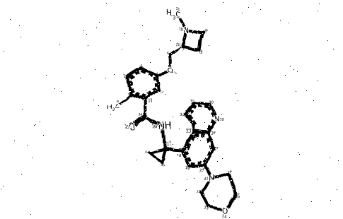 Cc1ccc(OC[C@@H]2CCN2C)cc1C(=O)NC1(c2cc(N3CCOCC3)cc3ncccc23)CC1